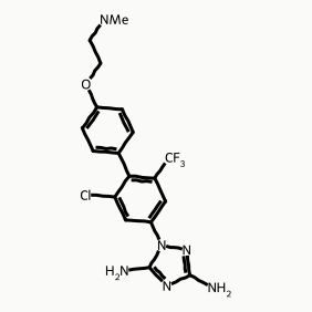 CNCCOc1ccc(-c2c(Cl)cc(-n3nc(N)nc3N)cc2C(F)(F)F)cc1